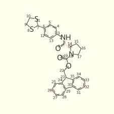 O=C(Nc1ccc(C2SCCS2)cc1)[C@@H]1CCCN1C(=O)OCC1c2ccccc2-c2ccccc21